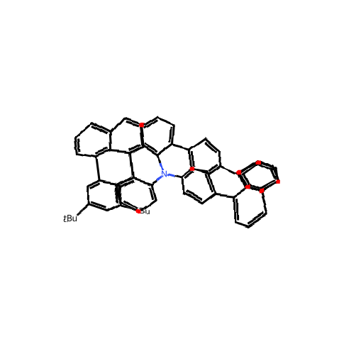 CC(C)(C)c1cc(-c2cccc3cccc(-c4ccccc4N(c4ccc(-c5cccc6ccccc56)cc4)c4ccccc4-c4ccc(-c5ccccc5)cc4)c23)cc(C(C)(C)C)c1